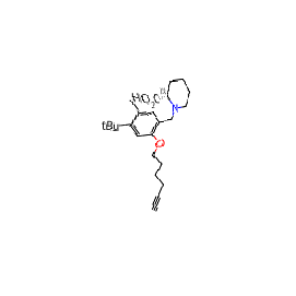 C#CCCCCOc1cc(C(C)(C)C)c(C)cc1CN1CCCC[C@H]1C(=O)O